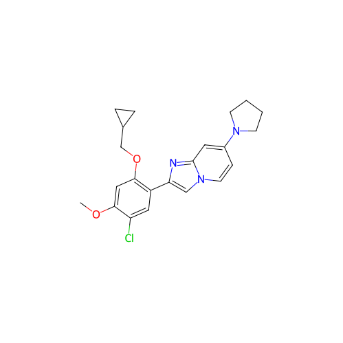 COc1cc(OCC2CC2)c(-c2cn3ccc(N4CCCC4)cc3n2)cc1Cl